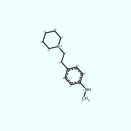 CNc1ccc(CCN2CCCCC2)cc1